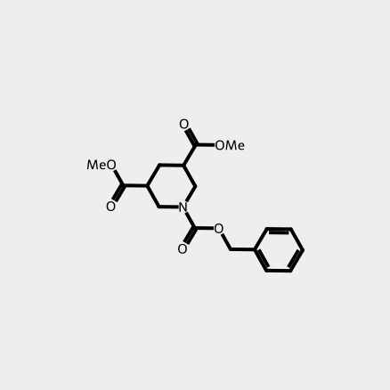 COC(=O)C1CC(C(=O)OC)CN(C(=O)OCc2ccccc2)C1